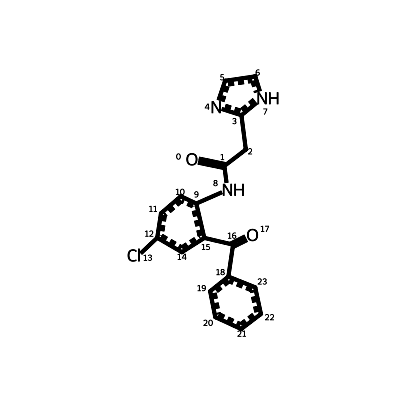 O=C(Cc1ncc[nH]1)Nc1ccc(Cl)cc1C(=O)c1ccccc1